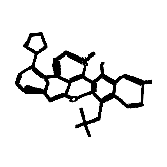 Cc1ccc2c(CC(C)(C)C)c3c(c(C)c2c1)-c1c2c(cc4cccc(C5CCCC5)c4c2cc[n+]1C)O3